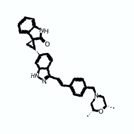 C[C@@H]1CN(Cc2ccc(/C=C/C3=NNC4C=C([C@@H]5C[C@@]56C(=O)Nc5ccccc56)C=CC34)cc2)C[C@H](C)O1